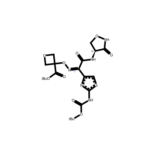 CC(C)COC(=O)C1(O/N=C(\C(=O)N[C@H]2CONC2=O)c2csc(NC(=O)OC(C)(C)C)n2)COC1